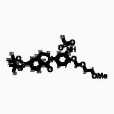 COCCOCOc1ccc(N2CCc3cc(B4OC(C)(C)C(C)(C)O4)ccc3C2=O)cc1NS(C)(=O)=O